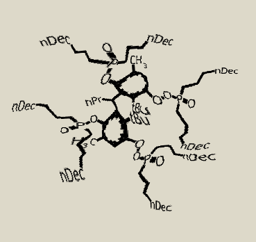 CCCCCCCCCCCCCP(=O)(CCCCCCCCCCCCC)OOc1cc(C)c(OP(=O)(CCCCCCCCCCCCC)CCCCCCCCCCCCC)c(C(CCC)c2c(OP(=O)(CCCCCCCCCCCCC)CCCCCCCCCCCCC)c(C)cc(OOP(=O)(CCCCCCCCCCCCC)CCCCCCCCCCCCC)c2C(C)(C)C)c1C(C)(C)C